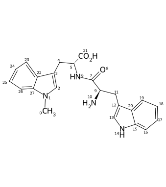 Cn1cc(C[C@@H](NC(=O)[C@H](N)Cc2c[nH]c3ccccc23)C(=O)O)c2ccccc21